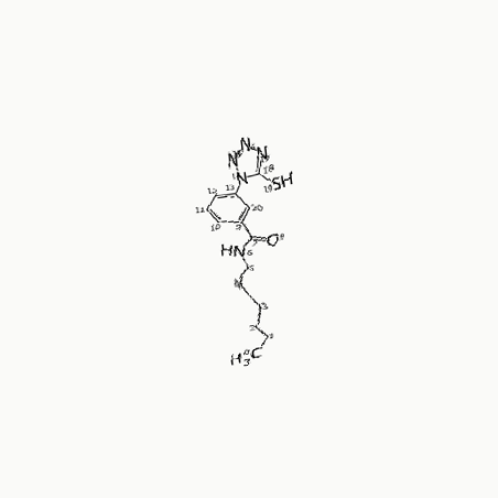 CCCCCCNC(=O)c1cccc(-n2nnnc2S)c1